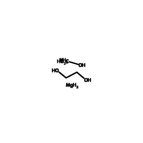 N.O=C(O)O.OCCO.[MgH2]